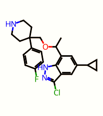 CC(OCC1(c2ccc(F)cc2)CCNCC1)c1cc(C2CC2)cc2c(Cl)n[nH]c12